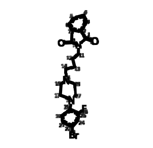 O=C1c2ccccc2C(=O)N1CCCCN1CCN(c2ccc(Br)cc2F)CC1